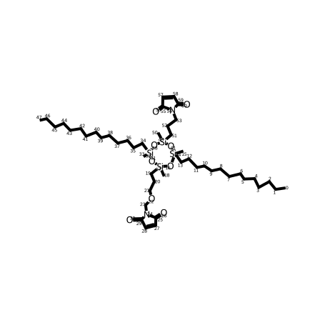 CCCCCCCCCCCCCC[Si]1(C)O[Si](C)(CCCOCN2C(=O)C=CC2=O)O[Si](C)(CCCCCCCCCCCCCC)O[Si](C)(CCCN2C(=O)C=CC2=O)O1